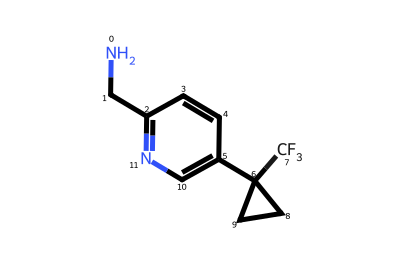 NCc1ccc(C2(C(F)(F)F)CC2)cn1